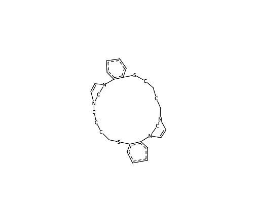 C1=CN2CN1CCCCSc1ccccc1N1C=CN(CCCCSc3ccccc32)C1